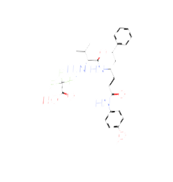 COc1ccc(NC(=O)/C=C/[C@H](CCc2ccccc2)NC(=O)[C@@H](N)C(C)C)cc1.O=C(O)C(F)(F)F